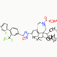 CC(C)C1(C(C)C)CN(C(=O)O)CCc2cc(-c3noc(-c4ccc(-c5ccccc5)c(C(F)(F)F)c4)n3)ccc21